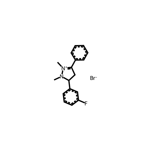 CN1C(c2cccc(F)c2)CC(c2ccccc2)=[N+]1C.[Br-]